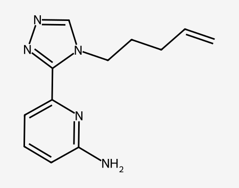 C=CCCCn1cnnc1-c1cccc(N)n1